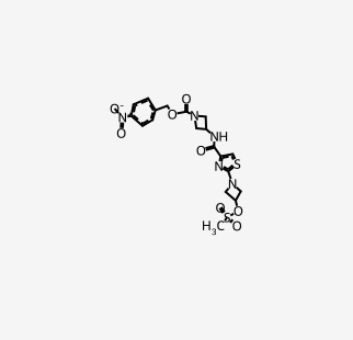 CS(=O)(=O)OC1CN(c2nc(C(=O)NC3CN(C(=O)OCc4ccc([N+](=O)[O-])cc4)C3)cs2)C1